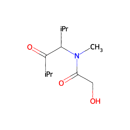 CC(C)C(=O)C(C(C)C)N(C)C(=O)CO